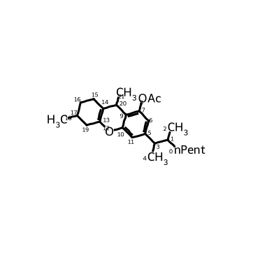 CCCCCC(C)C(C)c1cc(OC(C)=O)c2c(c1)OC1=C(CCC(C)C1)C2C